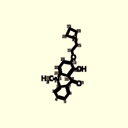 Cn1c2ccccc2c(=O)c2c(O)c(OCCN3CCC3)ccc21